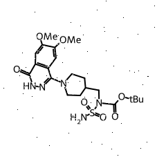 COc1cc2c(N3CCC(CN(C(=O)OC(C)(C)C)S(N)(=O)=O)CC3)n[nH]c(=O)c2cc1OC